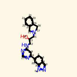 Cn1ncc2ccc(-c3cc(NCC(O)CN4CCc5ccccc5C4)ncn3)cc21